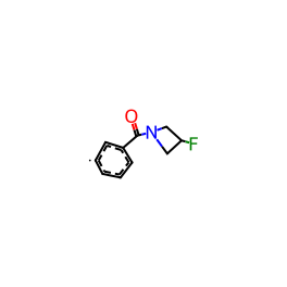 O=C(c1c[c]ccc1)N1CC(F)C1